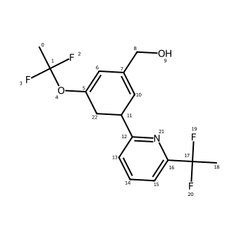 CC(F)(F)OC1=CC(CO)=CC(c2cccc(C(C)(F)F)n2)C1